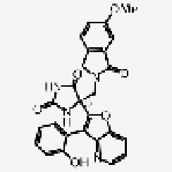 COc1ccc2c(c1)C(=O)N(C[C@@]1(c3oc4cccnc4c3-c3ccccc3O)NC(=O)NC1=O)C2